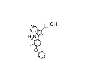 Cc1cc(C2=NC(C3CC(C)(O)C3)=C3C=NC=C[N+]23N)ccc1Oc1ccccc1